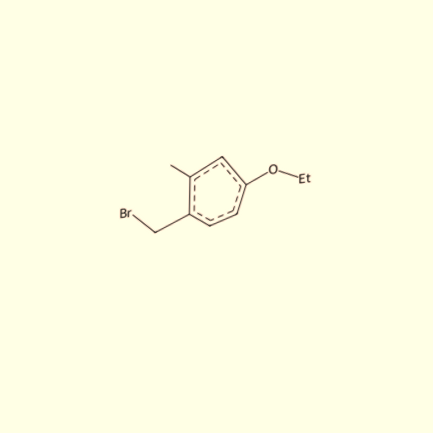 CCOc1ccc(CBr)c(C)c1